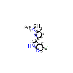 CC(C)CN(C)c1cccc(-c2c[nH]c3ncc(Cl)cc23)n1